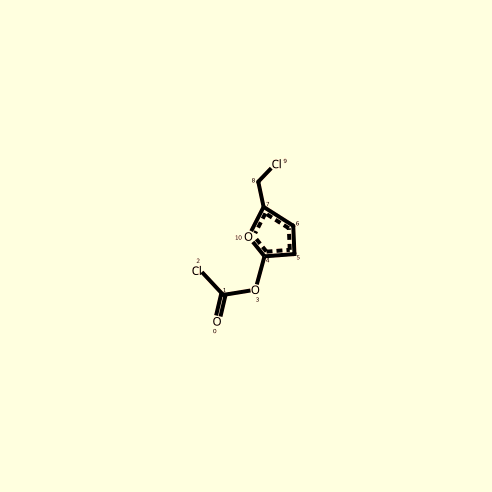 O=C(Cl)Oc1ccc(CCl)o1